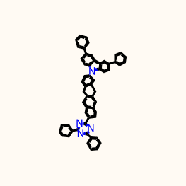 c1ccc(-c2ccc3c(c2)c2cc(-c4ccccc4)ccc2n3-c2ccc3c(c2)Cc2cc4ccc(-c5nc(-c6ccccc6)nc(-c6ccccc6)n5)cc4cc2C3)cc1